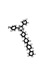 Fc1ccc(-c2nc(-c3ccc(-c4ccc(-c5ccc(-c6ccccc6)cc5)cc4)cc3)nc(-c3cccnc3)n2)cc1